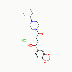 CCC(CC)N1CCN(C(=O)CCC(O)c2ccc3c(c2)OCO3)CC1.Cl